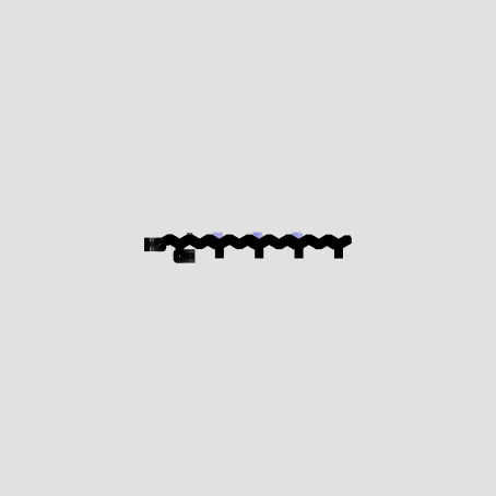 CC(C)=CCC/C(C)=C/CC/C(C)=C/CC/C(C)=C/C[CH]C(O)CO